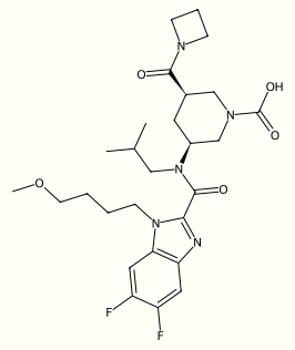 COCCCCn1c(C(=O)N(CC(C)C)[C@H]2C[C@@H](C(=O)N3CCC3)CN(C(=O)O)C2)nc2cc(F)c(F)cc21